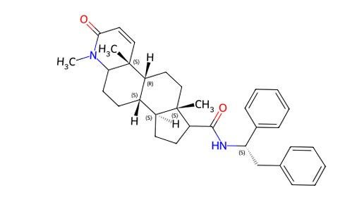 CN1C(=O)C=C[C@@]2(C)C1CC[C@@H]1[C@H]2CC[C@]2(C)C(C(=O)N[C@@H](Cc3ccccc3)c3ccccc3)CC[C@@H]12